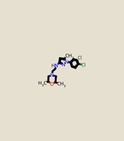 Cc1cc(NCCN2CC(C)OC(C)C2)nn1-c1ccc(Cl)c(Cl)c1